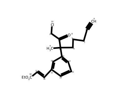 C#CCCCC(C)(C(=O)CCl)c1cccc(/C=C/C(=O)OCC)c1